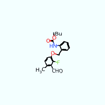 Cc1ccc(OCc2ccccc2NC(=O)OC(C)(C)C)c(F)c1C=O